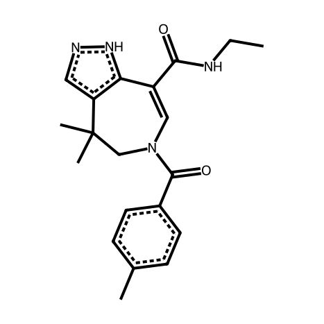 CCNC(=O)C1=CN(C(=O)c2ccc(C)cc2)CC(C)(C)c2cn[nH]c21